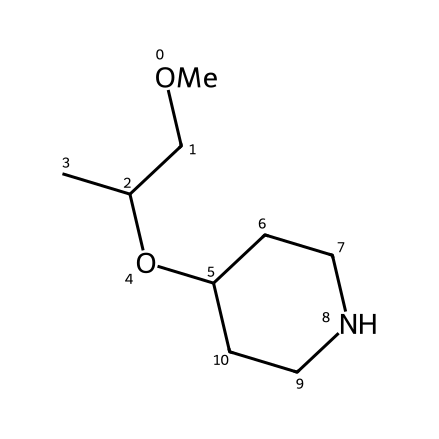 COCC(C)OC1CCNCC1